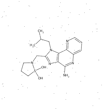 CC(C)Cn1c(CN2CCCS2(O)O)nc2c(N)nc3cccnc3c21